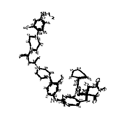 CC(CC(C)N1CCN(c2ccc(Nc3ncc4c(n3)N(C3CCCC3)C3(CC(=O)N(C)C3=O)C4)cc2F)CC1)N1CCN(c2ccc(N)cc2F)CC1